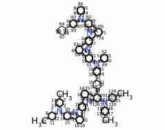 Cc1ccc(N(c2ccc(C)cc2)c2ccc3c4cccc5c6cc7c(cc6n(c3c2)c45)c2cccc3c4c(C5CCC(c6ccc(N(c8ccccc8)c8ccc9c%10cccc%11c%12cc%13c(cc%12n(c9c8)c%10%11)c8cccc9c%10ccc(N(c%11ccccc%11)c%11ccc(C%12CCCCC%12)cc%11)cc%10n%13c98)cc6)CC5)cc(N(c5ccc(C)cc5)c5ccc(C)cc5)cc4n7c23)cc1